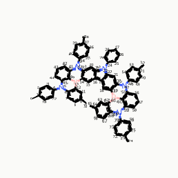 Cc1ccc(N2c3ccc(C)cc3B3c4cc5c6cc7c(cc6n(-c6ccccc6)c5cc4N(c4ccc(C)cc4)c4cccc2c43)N(c2ccc(C)cc2)c2cccc3c2B7c2cc(C)ccc2N3c2ccc(C)cc2)cc1